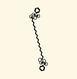 O=C(CCCCCCCCCCCCCCCCCCC(=O)OS(=O)(=O)c1ccccc1)OS(=O)(=O)c1ccccc1